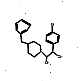 CCc1ccc(C(O)C(C)N2CCC(Cc3ccccc3)CC2)cc1